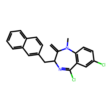 C=C1C(Cc2ccc3ccccc3c2)N=C(Cl)c2cc(Cl)ccc2N1C